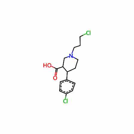 O=C(O)C1CN(CCCCl)CCC1c1ccc(Cl)cc1